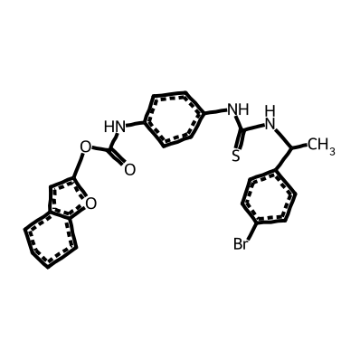 CC(NC(=S)Nc1ccc(NC(=O)Oc2cc3ccccc3o2)cc1)c1ccc(Br)cc1